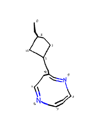 CC1CC(c2cnccn2)C1